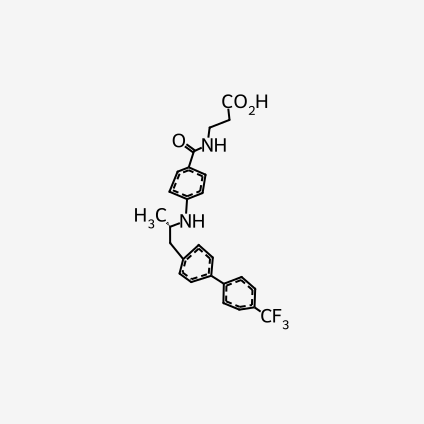 C[C@@H](Cc1ccc(-c2ccc(C(F)(F)F)cc2)cc1)Nc1ccc(C(=O)NCCC(=O)O)cc1